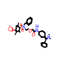 COc1cc(C)c(S(=O)(=O)N(CCOCC(=O)NC2CCC(C(c3ccccc3)N(C)C)CC2)Cc2ccccc2)c(C)c1C